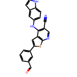 N#Cc1cnc2sc(-c3cccc(C=O)c3)cc2c1Nc1ccc2[nH]ccc2c1